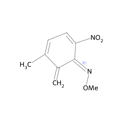 C=C1C(C)=CC=C([N+](=O)[O-])/C1=N/OC